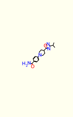 CC(C)c1noc(C2CCN(c3ccc(C(N)=O)cc3)CC2)n1